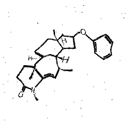 C[C@H]1C=C2N(C)C(=O)CC[C@]2(C)[C@H]2CC[C@]3(C)CC(Oc4ccccc4)C[C@H]3[C@H]12